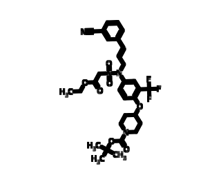 CCOC(=O)CS(=O)(=O)N(C/C=C/c1cccc(C#N)c1)c1ccc(OC2CCN(C(=O)OC(C)(C)C)CC2)c(C(F)(F)F)c1